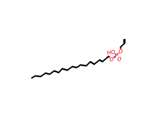 C=CCOP(=O)(O)OCCCCCCCCCCCCCCCCCC